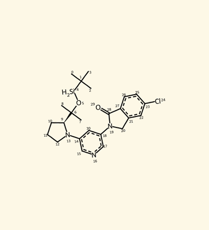 CC(C)(C)[SiH2]OC(C)(C)[C@@H]1CCCN1c1cncc(N2Cc3cc(Cl)ccc3C2=O)c1